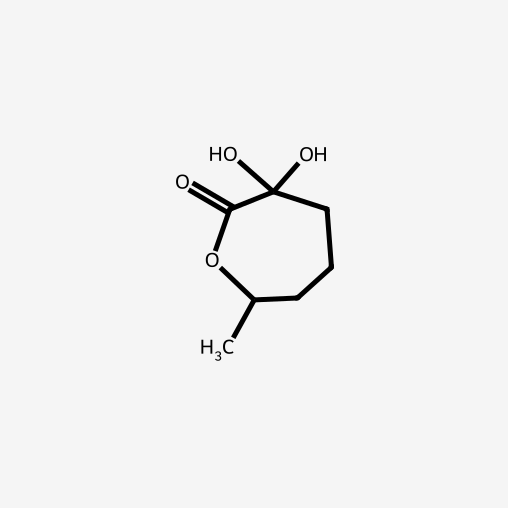 CC1CCCC(O)(O)C(=O)O1